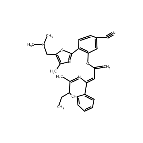 C=C(/C=C(\N=C(\C)C(C)CC)c1ccccc1)Oc1cc(C#N)ccc1-c1nc(C)c(CN(C)C)s1